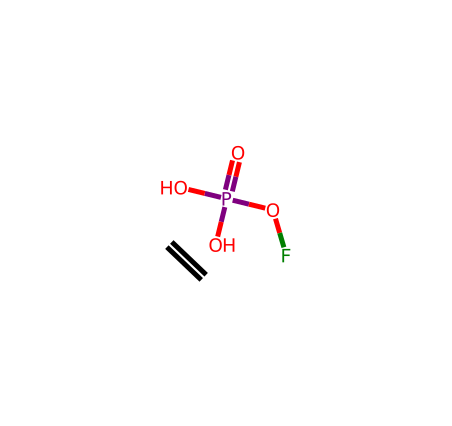 C=C.O=P(O)(O)OF